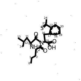 CCCCC(=O)N(C(=O)C(N)CC(C)C)C(Cc1ccccc1C(C)=S)C(=O)O